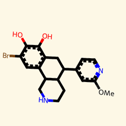 COc1cc(C2Cc3c(cc(Br)c(O)c3O)C3CNCCC23)ccn1